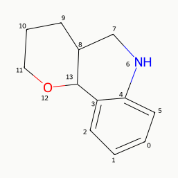 c1ccc2c(c1)NCC1CCCOC21